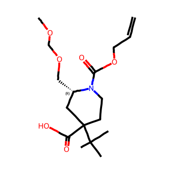 C=CCOC(=O)N1CCC(C(=O)O)(C(C)(C)C)C[C@@H]1COCOC